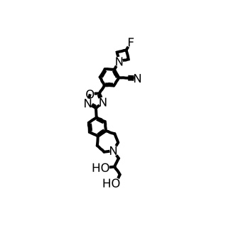 N#Cc1cc(-c2nc(-c3ccc4c(c3)CCN(CC(O)CO)CC4)no2)ccc1N1CC(F)C1